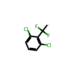 [CH2]C(F)(F)c1c(Cl)cccc1Cl